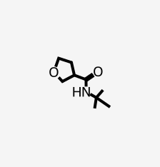 CC(C)(C)NC(=O)C1CCOC1